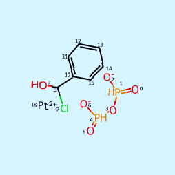 O=[PH]([O-])O[PH](=O)[O-].OC(Cl)c1ccccc1.[Pt+2]